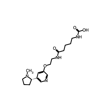 CN1CCC[C@H]1c1cncc(OCCNC(=O)CCCCNC(=O)O)c1